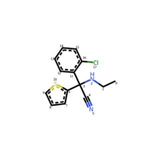 CCNC(C#N)(c1cccs1)c1ccccc1Cl